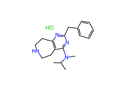 CC(C)N(C)c1nc(Cc2ccccc2)nc2c1CCNCC2.Cl